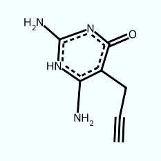 C#CCc1c(N)[nH]c(N)nc1=O